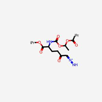 CC(C)OC(=O)C(CCC(=O)C=[N+]=N)NC(=O)OC(C)OC(=O)C(C)C